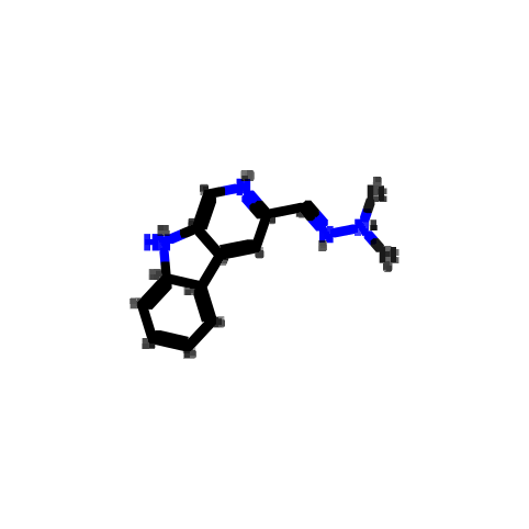 CCN(CC)N=Cc1cc2c(cn1)[nH]c1ccccc12